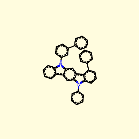 c1ccc(-c2cccc(-n3c4ccccc4c4cc5c(cc43)c3c(-c4ccccc4)cccc3n5-c3ccccc3)c2)cc1